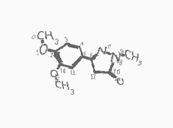 COc1ccc(C2=NN(C)C(=O)C2)cc1OC